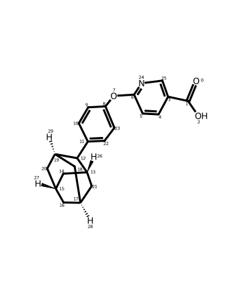 O=C(O)c1ccc(Oc2ccc(C3[C@H]4C[C@@H]5C[C@@H](C[C@H]3C5)C4)cc2)nc1